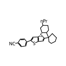 CCCC1CCC(C2(c3cc4sc(-c5ccc(C#N)cc5)cc4s3)CCCCC2)CC1